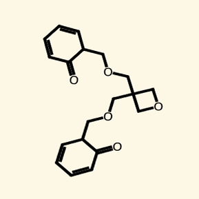 O=C1C=CC=CC1COCC1(COCC2C=CC=CC2=O)COC1